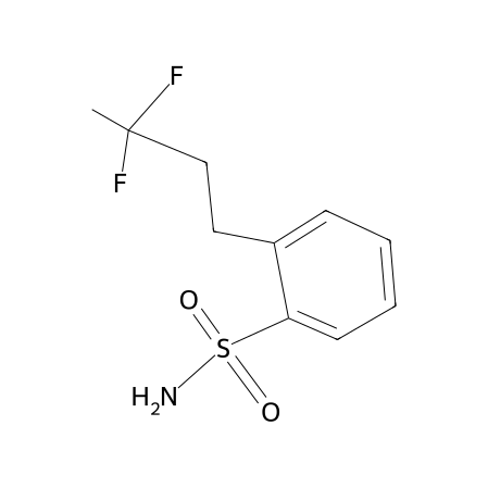 CC(F)(F)CCc1ccccc1S(N)(=O)=O